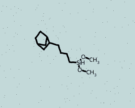 CO[SiH](CCCCC1CC2CCC1C2)OC